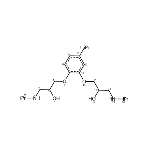 CC(C)NCC(O)COc1ccc(C(C)C)cc1OCC(O)CNC(C)C